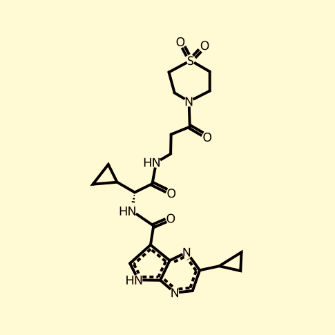 O=C(N[C@@H](C(=O)NCCC(=O)N1CCS(=O)(=O)CC1)C1CC1)c1c[nH]c2ncc(C3CC3)nc12